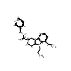 CCCN1c2c(CC)cccc2C2CN(C(=O)OCc3ccccc3)CCC21